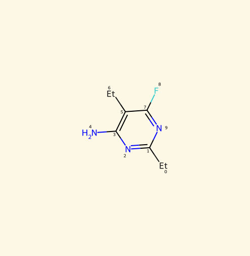 CCc1nc(N)c(CC)c(F)n1